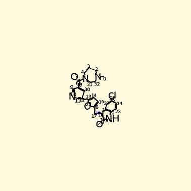 CN1CCCN(C(=O)c2cncc(-c3ccc(/C=C4/C(=O)Nc5ccc(Cl)cc54)o3)c2)CC1